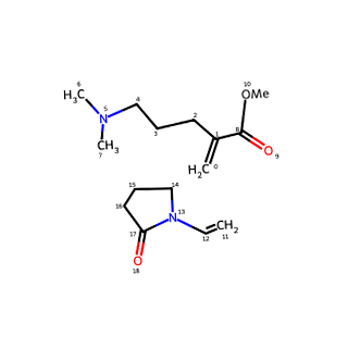 C=C(CCCN(C)C)C(=O)OC.C=CN1CCCC1=O